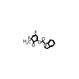 C[C@]1(F)C=C(F)C=C(OC(=O)N2CCc3ccccc32)C1=O